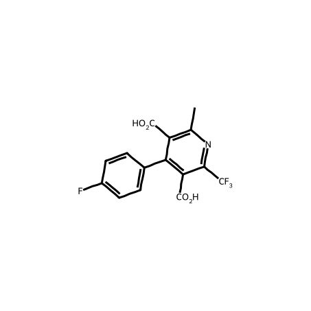 Cc1nc(C(F)(F)F)c(C(=O)O)c(-c2ccc(F)cc2)c1C(=O)O